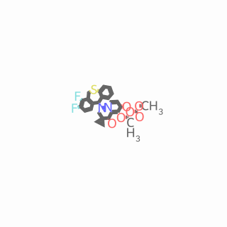 COC(=O)OC(C)Oc1c2n(ccc1=O)N(C1c3ccccc3SCc3c1ccc(F)c3F)CC1(CC1)C2=O